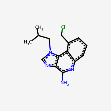 CC(C)Cn1cnc2c(N)nc3cccc(CCl)c3c21